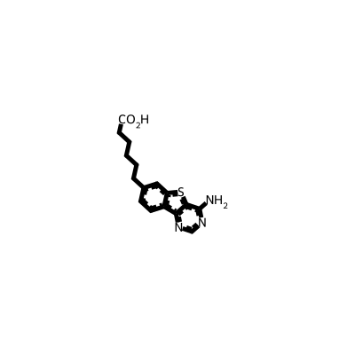 Nc1ncnc2c1sc1cc(CCCCCC(=O)O)ccc12